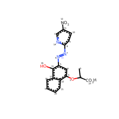 CC(Oc1cc(/N=N/c2ccc([N+](=O)[O-])cn2)c(O)c2ccccc12)C(=O)O